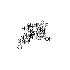 CO[C@@H]1C(CO)O[C@@H](n2cc(F)c3c(=O)[nH]cnc32)[C@@]1(C)P(=S)(OCCC#N)OC[C@H]1O[C@@H](n2cnc3c(NC(=O)c4ccccc4)ncnc32)C[C@@H]1O[PH](=O)O